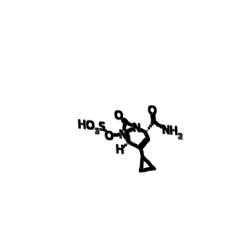 NC(=O)[C@@H]1C=C(C2CC2)[C@@H]2CN1C(=O)N2OS(=O)(=O)O